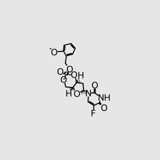 COc1ccccc1COP1(=O)OC[C@H]2O[C@@H](n3cc(F)c(=O)[nH]c3=O)C[C@@H]2O1